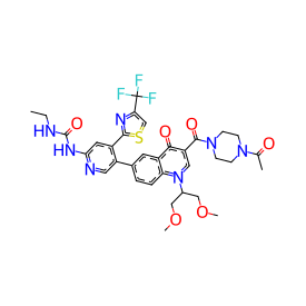 CCNC(=O)Nc1cc(-c2nc(C(F)(F)F)cs2)c(-c2ccc3c(c2)c(=O)c(C(=O)N2CCN(C(C)=O)CC2)cn3C(COC)COC)cn1